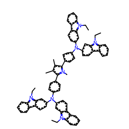 CCn1c2ccccc2c2ccc(N(c3ccc(-c4c(C)c(C)c(-c5ccc(N(c6ccc7c8ccccc8n(CC)c7c6)c6ccc7c8ccccc8n(CC)c7c6)cc5)n4C)cc3)c3ccc4c5ccccc5n(CC)c4c3)cc21